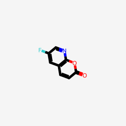 O=c1ccc2cc(F)cnc2o1